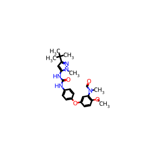 COc1ccc(Oc2ccc(NC(=O)Nc3cc(C(C)(C)C)nn3C)cc2)cc1N(C)C=O